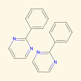 c1ccc(-c2ncccn2)cc1.c1ccc(-c2ncccn2)cc1